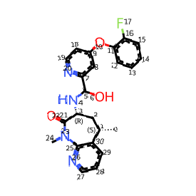 C[C@H]1C[C@@H](NC(O)c2cc(Oc3ccccc3F)ccn2)C(=O)N(C)c2ncccc21